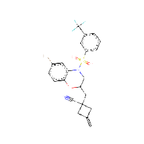 C=C1CC(C#N)(CC2CN(S(=O)(=O)c3cccc(C(F)(F)F)c3)c3cc(Br)ccc3O2)C1